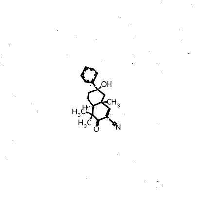 CC1(C)C(=O)C(C#N)=C[C@@]2(C)C[C@@](O)(c3ccccc3)CC[C@H]12